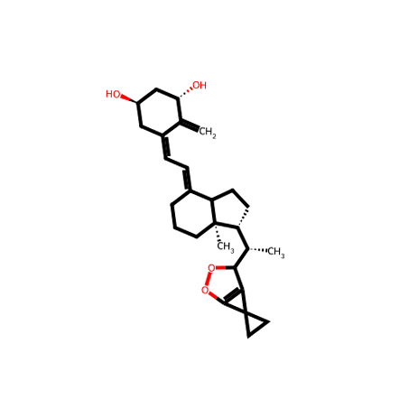 C=C1/C(=C\C=C2/CCC[C@@]3(C)C2CC[C@@H]3[C@H](C)C2OOC3=C2C32CC2)C[C@@H](O)C[C@@H]1O